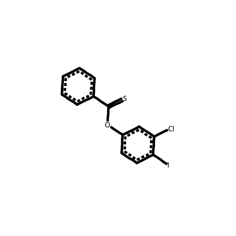 S=C(Oc1ccc(I)c(Cl)c1)c1ccccc1